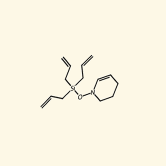 C=CC[Si](CC=C)(CC=C)ON1C=CCCC1